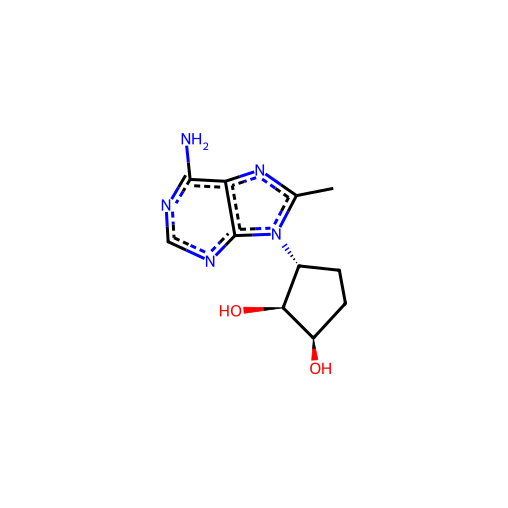 Cc1nc2c(N)ncnc2n1[C@@H]1CC[C@@H](O)[C@H]1O